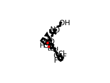 Cc1c(CN(C(=O)C2=C(c3ccc(CCCOc4c(F)ccc(F)c4Cl)cc3)C[C@@H]3CCC2N3C(=O)OC(C)(C)C)C2CC2)ccnc1OCCCO